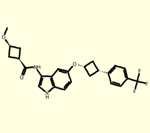 CO[C@H]1C[C@@H](C(=O)Nc2c[nH]c3ccc(O[C@H]4C[C@@H](c5ccc(C(F)(F)F)cc5)C4)cc23)C1